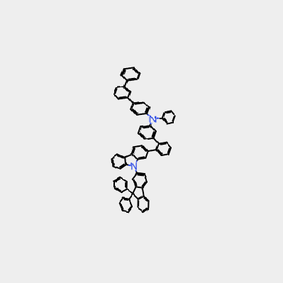 c1ccc(-c2cccc(-c3ccc(N(c4ccccc4)c4cccc(-c5ccccc5-c5ccc6c7ccccc7n(-c7ccc8c(c7)C(c7ccccc7)(c7ccccc7)c7ccccc7-8)c6c5)c4)cc3)c2)cc1